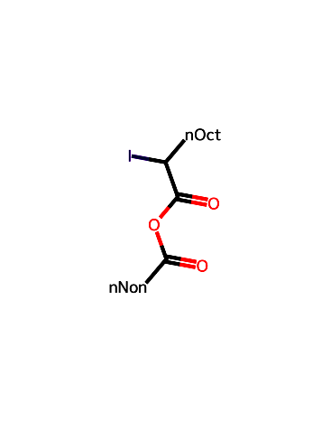 CCCCCCCCCC(=O)OC(=O)C(I)CCCCCCCC